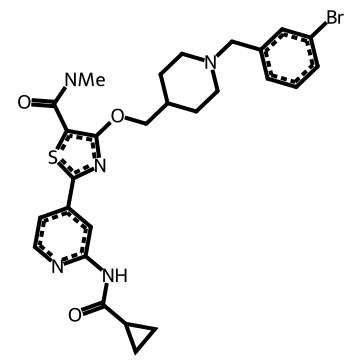 CNC(=O)c1sc(-c2ccnc(NC(=O)C3CC3)c2)nc1OCC1CCN(Cc2cccc(Br)c2)CC1